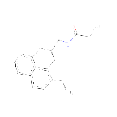 CCC(=O)NCC1Cc2cccc3ccc(CC)c(c23)C1